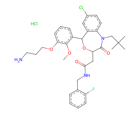 COc1c(OCCCN)cccc1C1OC(CC(=O)NCc2ccccc2F)C(=O)N(CC(C)(C)C)c2ccc(Cl)cc21.Cl